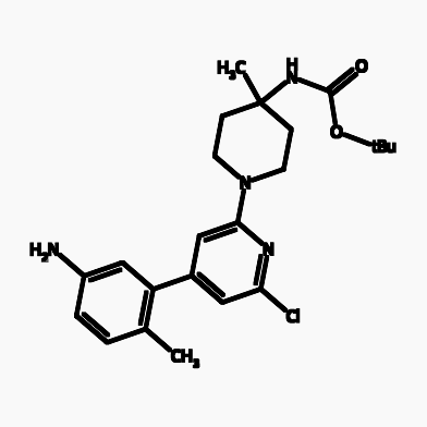 Cc1ccc(N)cc1-c1cc(Cl)nc(N2CCC(C)(NC(=O)OC(C)(C)C)CC2)c1